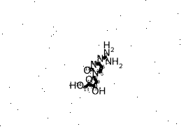 NC(N)=Nc1ccn([C@H]2C[C@@H](O)C(CO)O2)c(=O)n1